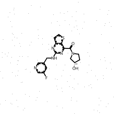 O=C(c1nc(NCc2cncc(F)c2)nc2ccsc12)N1CC[C@H](O)C1